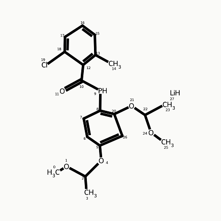 COC(C)Oc1ccc(PC(=O)c2c(C)cccc2Cl)c(OC(C)OC)c1.[LiH]